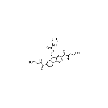 CCNC(=O)OCC1c2cc(C(=O)NCCO)ccc2-c2ccc(C(=O)NCCO)cc21